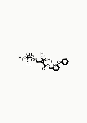 CC(C)(C)CON=CC1C(C(=O)OCc2cccc(Oc3ccccc3)n2)C1(C)C